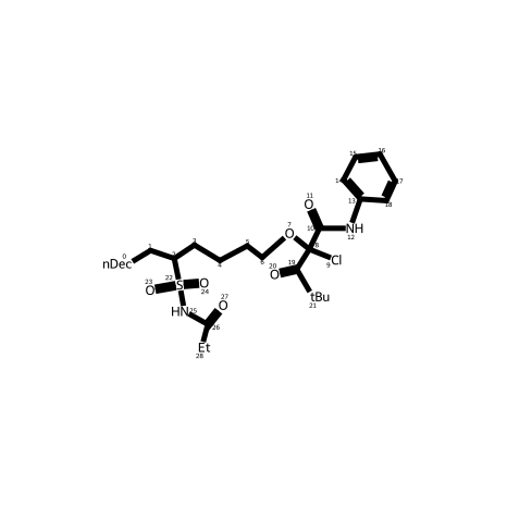 CCCCCCCCCCCC(CCCCOC(Cl)(C(=O)Nc1ccccc1)C(=O)C(C)(C)C)S(=O)(=O)NC(=O)CC